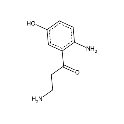 NCCC(=O)c1cc(O)ccc1N